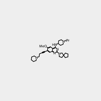 COc1cc2c(NC3CCN(C(C)C)CC3)nc(N3CCC4(CCCC4)C3)nc2cc1C#CCCN1CCCCC1